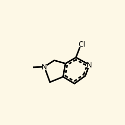 CN1Cc2ccnc(Cl)c2C1